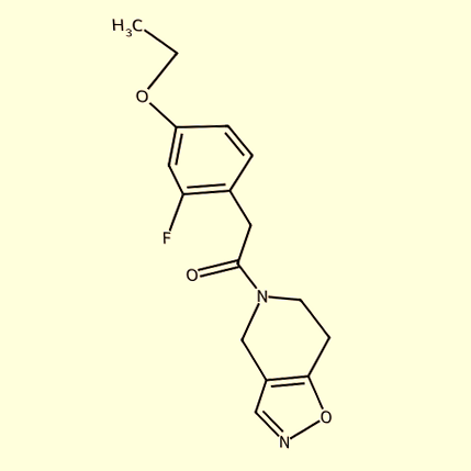 CCOc1ccc(CC(=O)N2CCc3oncc3C2)c(F)c1